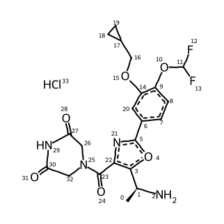 C[C@H](N)c1oc(-c2ccc(OC(F)F)c(OCC3CC3)c2)nc1C(=O)N1CC(=O)NC(=O)C1.Cl